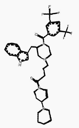 O=C(CCCN1CCN(C(=O)c2cc(C(F)(F)F)cc(C(F)(F)F)c2)C(Cc2c[nH]c3ccccc23)C1)N1CCC(N2CCCCC2)CC1